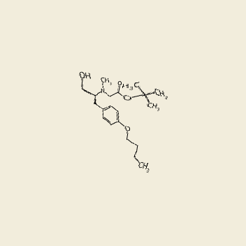 CCCCOc1ccc(C[C@@H](CO)N(C)CC(=O)OC(C)(C)C)cc1